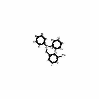 Fc1cccc(CP(c2ccccc2)c2ccccc2)c1